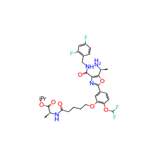 CC(C)OC(=O)[C@H](C)NC(=O)CCCCOc1cc(-c2nc(C(=O)NCc3ccc(F)cc3F)c([C@H](C)N)o2)ccc1OC(F)F